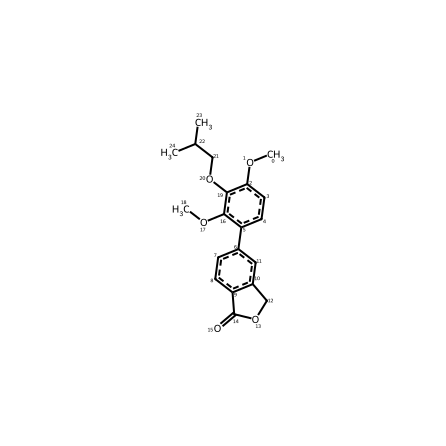 COc1ccc(-c2ccc3c(c2)COC3=O)c(OC)c1OCC(C)C